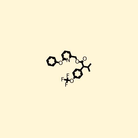 CC(C)C(C(=O)OCc1cccc(Oc2ccccc2)n1)c1ccc(OC(F)(F)F)cc1